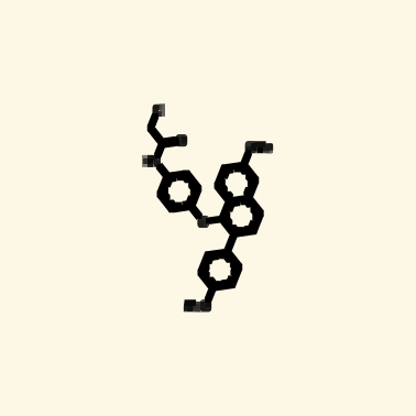 COc1ccc(-c2ccc3cc(OC)ccc3c2Oc2ccc(NC(=O)CCl)cc2)cc1